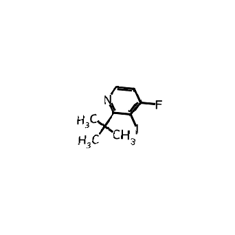 CC(C)(C)c1nccc(F)c1I